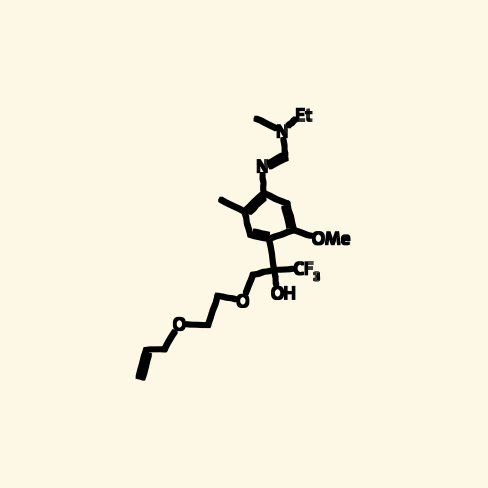 C=CCOCCOCC(O)(c1cc(C)c(N=CN(C)CC)cc1OC)C(F)(F)F